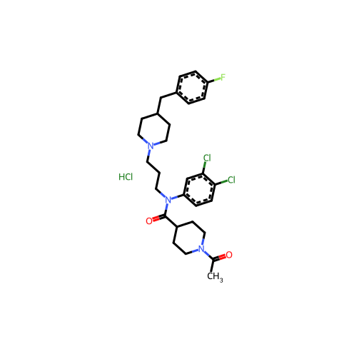 CC(=O)N1CCC(C(=O)N(CCCN2CCC(Cc3ccc(F)cc3)CC2)c2ccc(Cl)c(Cl)c2)CC1.Cl